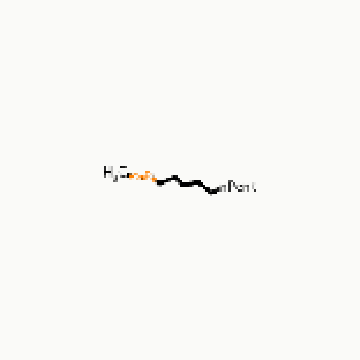 CCCCCCCCCC[P][P]C